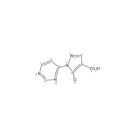 CCOC(=O)c1cnn(-c2ccncn2)c1Cl